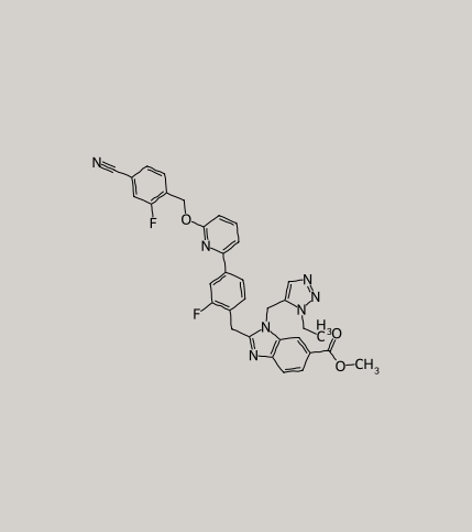 CCn1nncc1Cn1c(Cc2ccc(-c3cccc(OCc4ccc(C#N)cc4F)n3)cc2F)nc2ccc(C(=O)OC)cc21